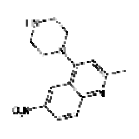 Cc1cc(N2CCNCC2)c2cc([N+](=O)[O-])ccc2n1